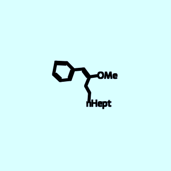 CCCCCCCCCC(=Cc1ccccc1)OC